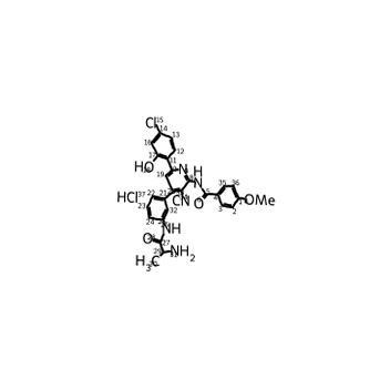 COc1ccc(C(=O)Nc2nc(-c3ccc(Cl)cc3O)cc(-c3cccc(NC(=O)C(C)N)c3)c2C#N)cc1.Cl